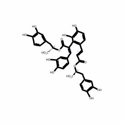 O=C(/C=C/c1ccc(O)c(O)c1/C(=C/c1ccc(O)c(O)c1)C(=O)O[C@@H](Cc1ccc(O)c(O)c1)C(=O)O)O[C@@H](Cc1ccc(O)c(O)c1)C(=O)O